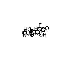 C[C@]12C=CC(=O)C=C1[C@@H](F)C[C@H]1C3C[C@H]4CN(Cc5ccccn5)O[C@@]4(C(=O)CO)[C@@]3(C)C[C@H](O)[C@@]12F